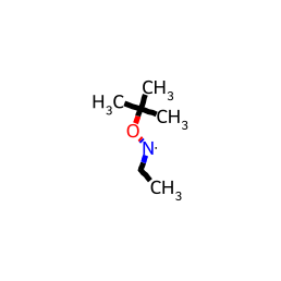 CC[N]OC(C)(C)C